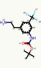 CC(C)(C)OC(=O)Nc1cc(CCN)cc(C(F)(F)F)c1